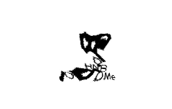 C#CCOc1ccc([C@H](NC(=O)OCC2c3ccccc3-c3ccccc32)C(=O)OC)cc1